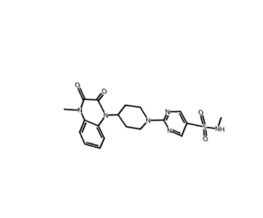 CNS(=O)(=O)c1cnc(N2CCC(n3c(=O)c(=O)n(C)c4ccccc43)CC2)nc1